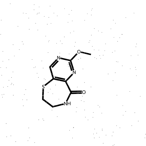 COc1ncc2c(n1)C(=O)NCCS2